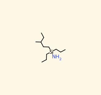 CCC[Si](N)(CCC)CCC(C)CC